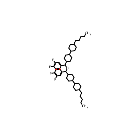 CCCCCC1CCC(C2CCC(C(OC(c3ccc(F)c(F)c3)C3CCC(C4CCC(CCCCC)CC4)CC3)c3ccc(F)c(F)c3)CC2)CC1